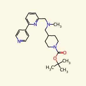 CN(Cc1cccc(-c2ccncc2)n1)CC1CCN(C(=O)OC(C)(C)C)CC1